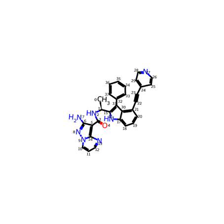 C[C@H](NC(=O)c1c(N)nn2cccnc12)c1[nH]c2cccc(C#Cc3ccncc3)c2c1-c1ccccc1